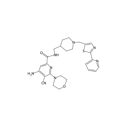 N#Cc1c(N)cc(C(=O)NCC2CCN(Cc3cnc(-c4ccccn4)s3)CC2)nc1N1CCOCC1